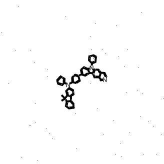 CC1(C)c2ccccc2-c2ccc(N(c3ccccc3)c3ccc(-c4ccc5c(c4)c4cc6cnccc6cc4n5-c4ccccc4)cc3)cc21